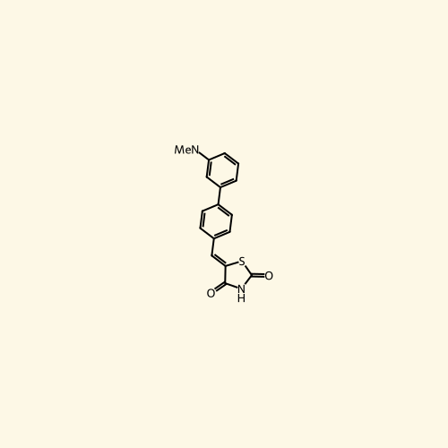 CNc1cccc(-c2ccc(/C=C3\SC(=O)NC3=O)cc2)c1